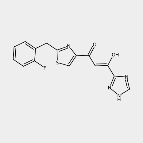 O=C(C=C(O)c1nc[nH]n1)c1csc(Cc2ccccc2F)n1